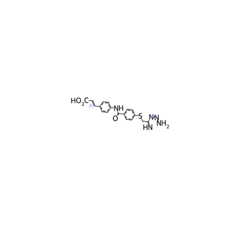 N=C(CSc1ccc(C(=O)Nc2ccc(/C=C/C(=O)O)cc2)cc1)/N=N\N